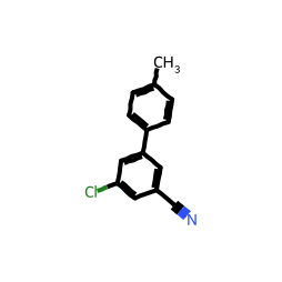 Cc1ccc(-c2cc(Cl)cc(C#N)c2)cc1